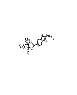 CC1(C)OC(c2ccc3oc(N)nc3c2)OC1(C)C